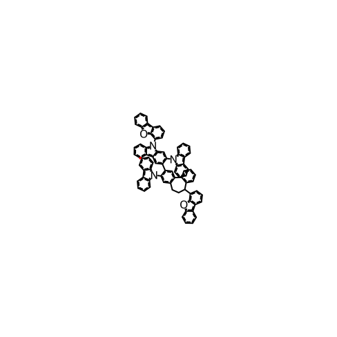 c1ccc2c(c1)-c1cc(-c3cc4c5ccccc5n(-c5cccc6c5oc5ccccc56)c4cc3-n3c4ccccc4c4ccccc43)c(-n3c4ccccc4c4ccccc43)cc1CCC2c1cccc2c1oc1ccccc12